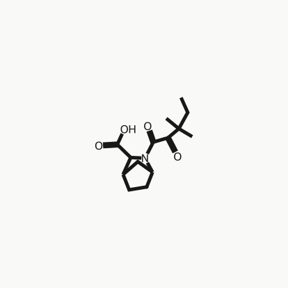 CCC(C)(C)C(=O)C(=O)N1C2CCC(C2)C1C(=O)O